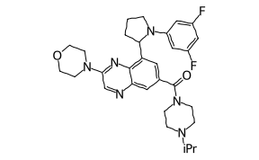 CC(C)N1CCN(C(=O)c2cc(C3CCCN3c3cc(F)cc(F)c3)c3nc(N4CCOCC4)cnc3c2)CC1